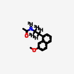 [2H]N(C(C)=O)C([2H])([2H])C([2H])([2H])c1cccc2ccc(OC)cc12